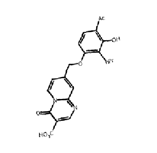 CCCc1c(OCc2ccn3c(=O)c(C(=O)O)cnc3c2)ccc(C(C)=O)c1O